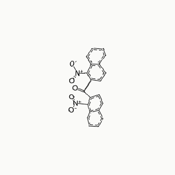 O=C(c1ccc2ccccc2c1[N+](=O)[O-])c1ccc2ccccc2c1[N+](=O)[O-]